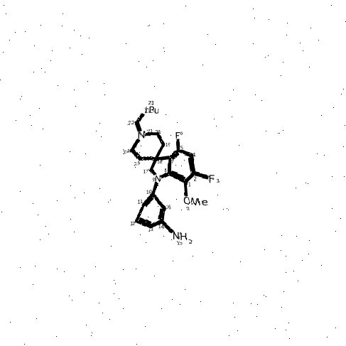 COc1c(F)cc(F)c2c1N(c1cccc(N)c1)CC21CCN(CC(C)(C)C)CC1